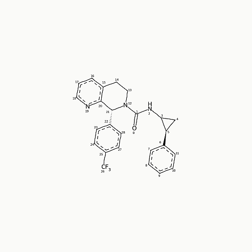 O=C(NC1C[C@H]1c1ccccc1)N1CCc2cccnc2[C@H]1c1ccc(C(F)(F)F)cc1